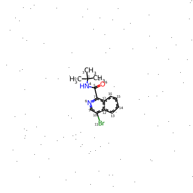 CC(C)(C)NC(=O)c1ncc(Br)c2ccccc12